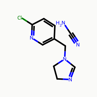 Clc1ccc(CN2C=NCC2)cn1.N#CN